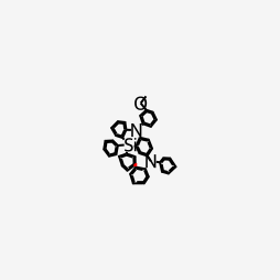 COc1cccc(N2c3ccccc3[Si](c3ccccc3)(c3ccccc3)c3cc(N(c4ccccc4)c4ccccc4)ccc32)c1